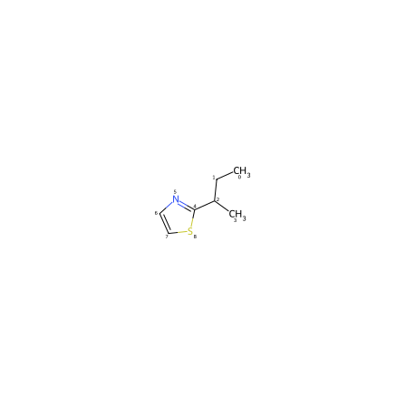 CCC(C)c1nccs1